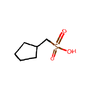 O=S(=O)(O)CC1CCCC1